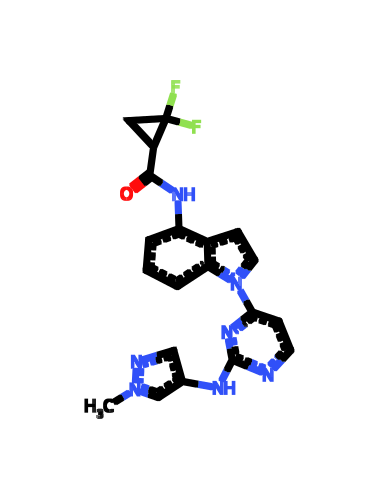 Cn1cc(Nc2nccc(-n3ccc4c(NC(=O)C5CC5(F)F)cccc43)n2)cn1